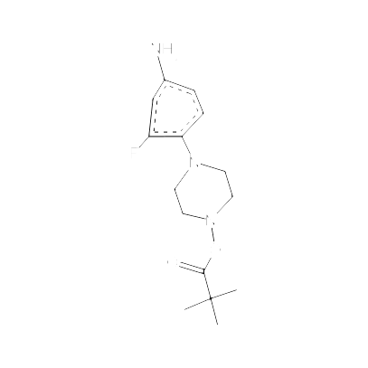 CC(C)(C)C(=O)ON1CCN(c2ccc(N)cc2F)CC1